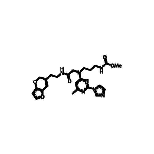 COC(=O)NCCCN(CC(=O)NCCC1=Cc2occc2OC1)c1cc(C)nc(-n2ccnc2)n1